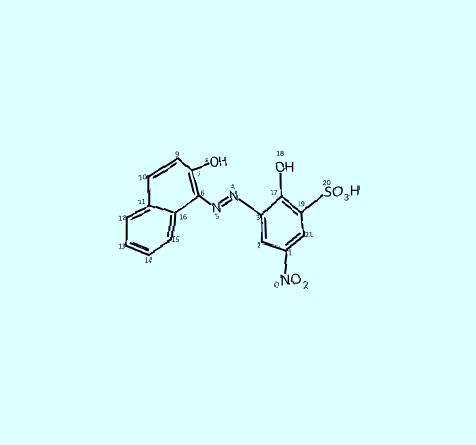 O=[N+]([O-])c1cc(/N=N/c2c(O)ccc3ccccc23)c(O)c(S(=O)(=O)O)c1